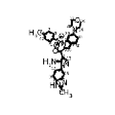 Cc1ccc(S(=O)(=O)n2c(C(=O)c3cnn(-c4ccc5[nH]c(C)nc5c4)c3N)cc3ccc(N4CCOCC4)cc32)cc1